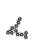 c1cc(-c2ccc(N(c3ccc(-c4ccc5c(c4)oc4ccccc45)cc3)c3cccc(-c4cc5ccccc5c5ccccc45)c3)cc2)cc(-c2ccc(-n3c4ccccc4c4ccccc43)cc2)c1